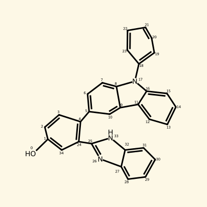 Oc1ccc(-c2ccc3c(c2)c2ccccc2n3-c2ccccc2)c(-c2nc3ccccc3[nH]2)c1